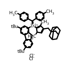 CC1=[C]([Zr+2](=[C](c2ccc(C)cc2)c2ccc(C)cc2)[c]2cc(C(C)(C)C)cc3c2Cc2ccc(C(C)(C)C)cc2-3)C(C)C=C1CC12CC3CC(CC(C3)C1)C2.[Cl-].[Cl-]